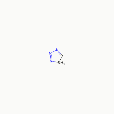 C1=NN=N[SiH2]1